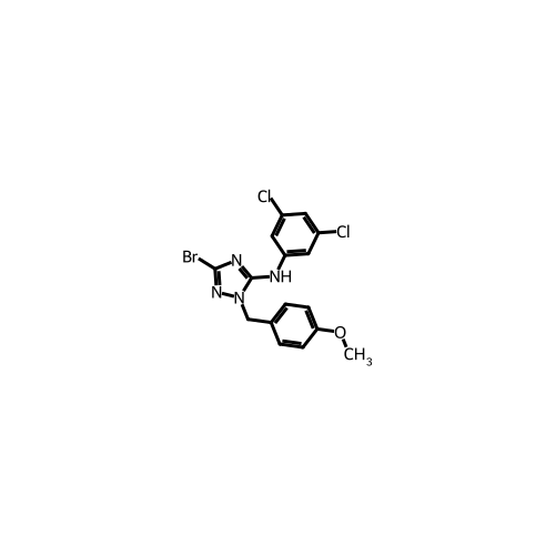 COc1ccc(Cn2nc(Br)nc2Nc2cc(Cl)cc(Cl)c2)cc1